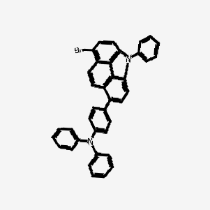 Brc1ccc2c3c1ccc1c(-c4ccc(N(c5ccccc5)c5ccccc5)cc4)ccc(c13)n2-c1ccccc1